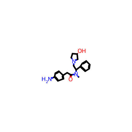 CN(C(=O)Cc1ccc(N)cc1)C(CN1CC[C@@H](O)C1)c1ccccc1